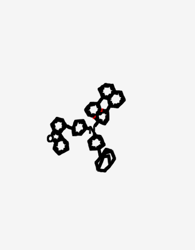 c1ccc(-c2cccc3cccc(-c4ccc(N(c5ccc(-c6cccc7oc8ccccc8c67)cc5)c5ccc(C67CC8CC(CC(C8)C6)C7)cc5)cc4)c23)cc1